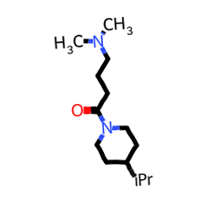 CC(C)C1CCN(C(=O)CCCN(C)C)CC1